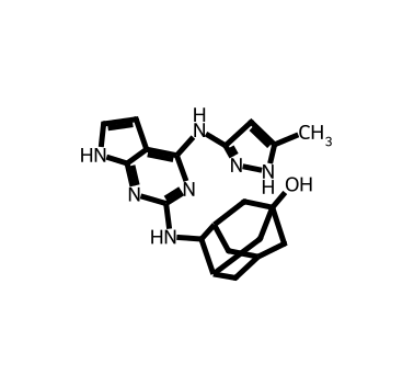 Cc1cc(Nc2nc(NC3C4CC5CC3CC(O)(C5)C4)nc3[nH]ccc23)n[nH]1